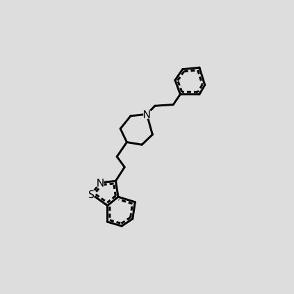 c1ccc(CCN2CCC(CCc3nsc4ccccc34)CC2)cc1